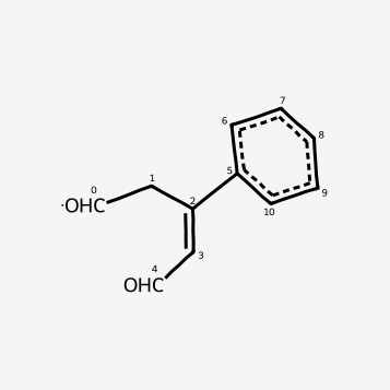 O=[C]CC(=CC=O)c1ccccc1